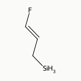 FC=CC[SiH3]